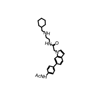 CC(=O)Nc1ccc(-c2ccc3ccn(CC(=O)NCCNCC4CCCCC4)c3c2)cc1